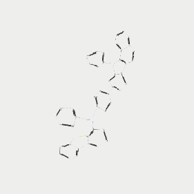 c1ccc(N(c2ccc(-c3ccc4c5ccc6ccccc6c5n(-c5ccccc5)c4c3)cc2)c2cccc3c2sc2ccccc23)cc1